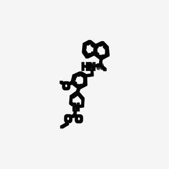 CCOC(=O)N1CC=C(c2cc(CN[C@H](C)c3cccc4ccccc34)ccc2OC)CC1